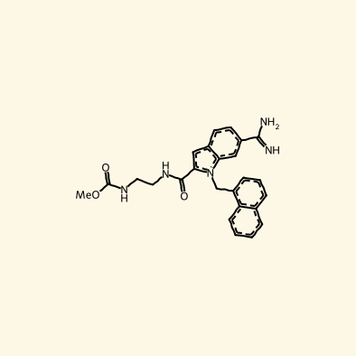 COC(=O)NCCNC(=O)c1cc2ccc(C(=N)N)cc2n1Cc1cccc2ccccc12